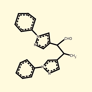 [CH2]C(c1cnn(-c2ccccc2)c1)C(C=O)c1cnn(-c2ccccc2)c1